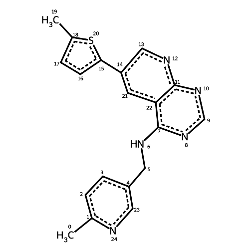 Cc1ccc(CNc2ncnc3ncc(-c4ccc(C)s4)cc23)cn1